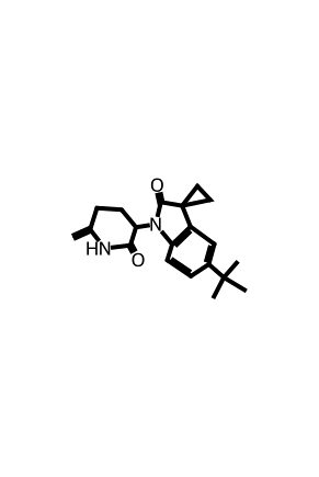 C=C1CCC(N2C(=O)C3(CC3)c3cc(C(C)(C)C)ccc32)C(=O)N1